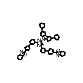 c1ccc(-c2ccc3c(c2)c2cc(-c4ccccc4)ccc2n3-c2nc(-c3cccc(-c4ccc(-c5nc6ccccc6o5)cc4)c3)nc(-c3cccc(-c4ccc(-c5nc6ccccc6o5)cc4)c3)n2)cc1